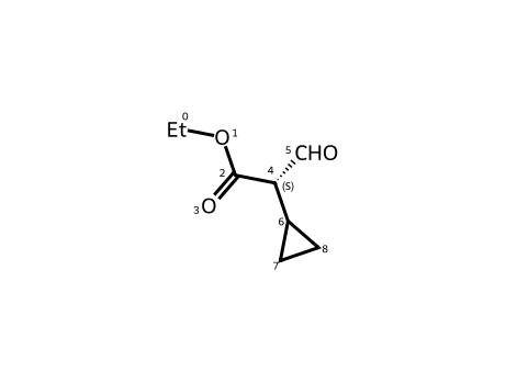 CCOC(=O)[C@H](C=O)C1CC1